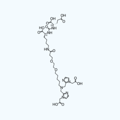 O=C(O)CC[C@H](NC(=O)N[C@@H](CCCCNC(=O)CCOCCOCCCCCN(Cc1nccn1CC(=O)O)Cc1nccn1CC(=O)O)C(=O)O)C(=O)O